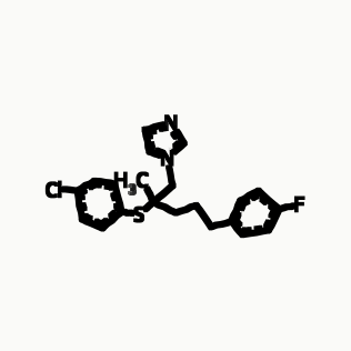 CC(CCCc1ccc(F)cc1)(Cn1ccnc1)Sc1ccc(Cl)cc1